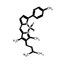 CC1=C(CCC(C)C)C(C)=[N+]2C1=Cc1ccc(-c3ccc(C)cc3)n1[B-]2(F)F